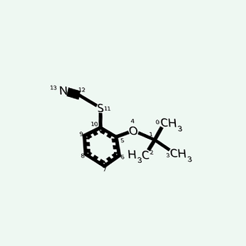 CC(C)(C)Oc1ccccc1SC#N